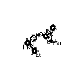 CCc1ccc(-c2nc3c(N4CCN(CCOc5ccc(OC(=O)NC(C)(C)C)c(C(=O)Nc6ccccc6)c5)CC4)cccc3[nH]2)cc1